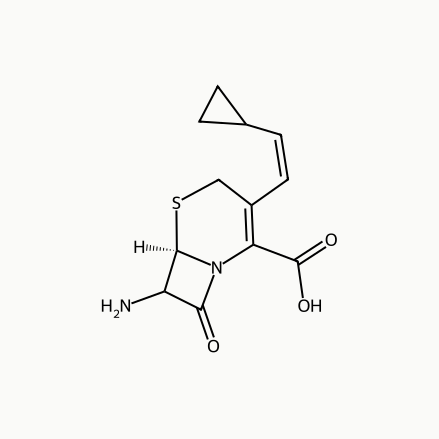 NC1C(=O)N2C(C(=O)O)=C(/C=C\C3CC3)CS[C@H]12